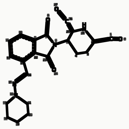 O=C=C1CCC(N2C(=O)c3cccc(/C=N/N4CCCCC4)c3C2=O)C(=C=O)N1